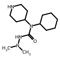 CN(C)NC(=O)N(C1CCCCC1)C1CCNCC1